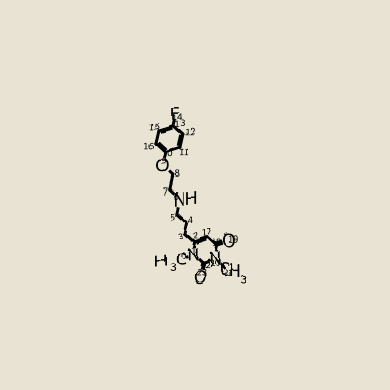 Cn1c(CCCNCCOc2ccc(F)cc2)cc(=O)n(C)c1=O